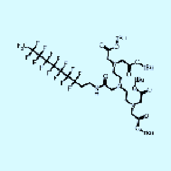 CC(C)(C)OC(=O)CN(CCN(CCN(CC(=O)OC(C)(C)C)CC(=O)OC(C)(C)C)CC(=O)NCCC(F)(F)C(F)(F)C(F)(F)C(F)(F)C(F)(F)C(F)(F)C(F)(F)C(F)(F)F)CC(=O)OC(C)(C)C